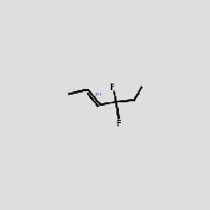 C/C=C/C(F)(F)CC